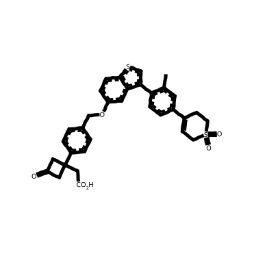 Cc1cc(C2=CCS(=O)(=O)CC2)ccc1-c1csc2ccc(OCc3ccc(C4(CC(=O)O)CC(=O)C4)cc3)cc12